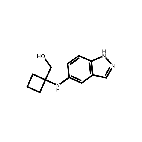 OCC1(Nc2ccc3[nH]ncc3c2)CCC1